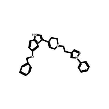 C1=C(c2c[nH]c3ccc(OCc4ccccc4)cc23)CCN(CCc2cnn(-c3ccccc3)c2)C1